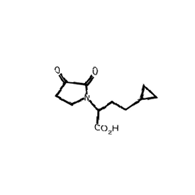 O=C1CCN(C(CCC2CC2)C(=O)O)C1=O